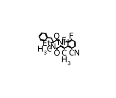 CCC1(Cc2ccccc2)C(=O)NC(=C(C)c2c(C#N)ccc(F)c2F)C(=O)N1C